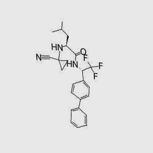 CC(C)C[C@H](NC1(C#N)CC1)C(=O)N[C@@H](c1ccc(-c2ccccc2)cc1)C(F)(F)F